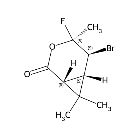 CC1(C)[C@@H]2[C@H]1C(=O)O[C@@](C)(F)[C@H]2Br